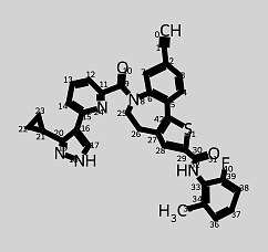 C#Cc1ccc2c(c1)N(C(=O)c1cccc(-c3c[nH]nc3C3CC3)n1)CCc1cc(C(=O)Nc3c(C)cccc3F)sc1-2